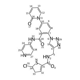 O=C(NCc1cn(-c2ccc(-n3ccccc3=O)cc2C(=O)Nc2ccncc2)nn1)C1=CCC(Cl)S1